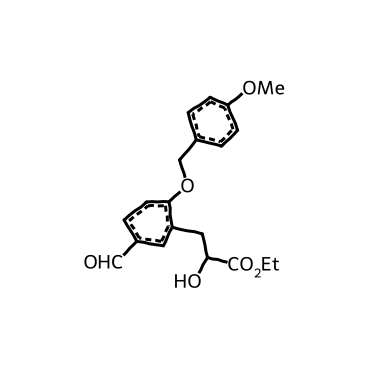 CCOC(=O)C(O)Cc1cc(C=O)ccc1OCc1ccc(OC)cc1